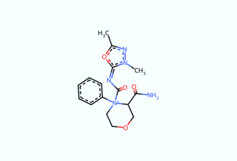 Cc1nn(C)c(=NC(=O)[N+]2(c3ccccc3)CCOCC2C(N)=O)o1